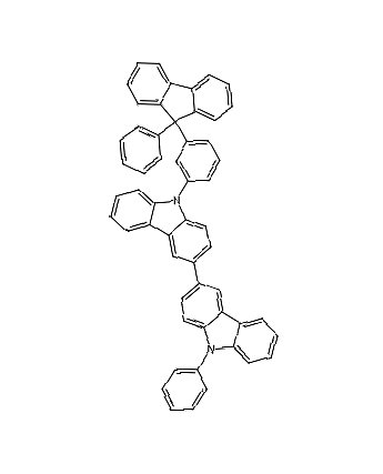 c1ccc(-n2c3ccccc3c3cc(-c4ccc5c(c4)c4ccccc4n5-c4cccc(C5(c6ccccc6)c6ccccc6-c6ccccc65)c4)ccc32)cc1